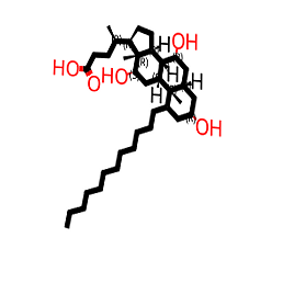 CCCCCCCCCCCCC1C[C@@H](O)C[C@H]2C[C@@H](O)[C@@H]3[C@H](C[C@H](O)[C@]4(C)[C@@H]([C@H](C)CCC(=O)O)CC[C@@H]34)[C@@]12C